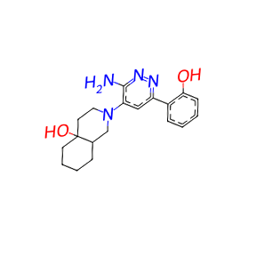 Nc1nnc(-c2ccccc2O)cc1N1CCC2(O)CCCCC2C1